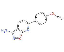 COc1ccc(-c2ccc3c(N)noc3n2)cc1